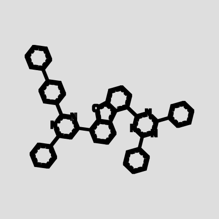 c1ccc(-c2ccc(-c3nc(-c4ccccc4)cc(-c4cccc5c4oc4cccc(-c6nc(-c7ccccc7)nc(-c7ccccc7)n6)c45)n3)cc2)cc1